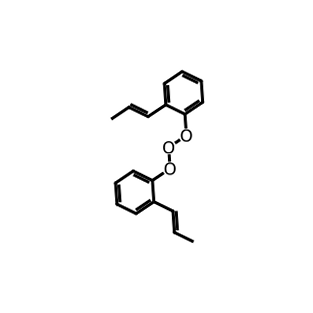 CC=Cc1ccccc1OOOc1ccccc1C=CC